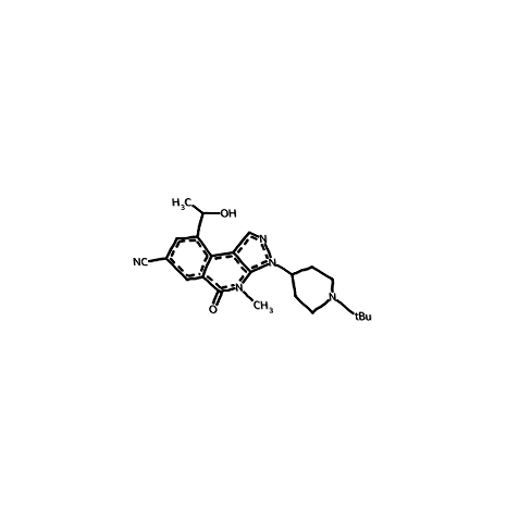 CC(O)c1cc(C#N)cc2c(=O)n(C)c3c(cnn3C3CCN(C(C)(C)C)CC3)c12